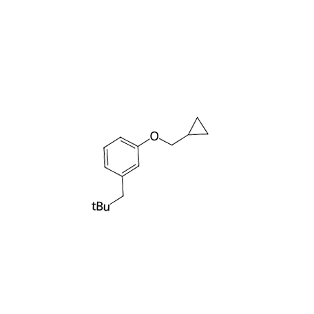 CC(C)(C)Cc1cccc(OCC2CC2)c1